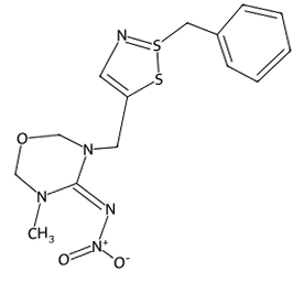 CN1COCN(CC2=CN=S(Cc3ccccc3)S2)C1=N[N+](=O)[O-]